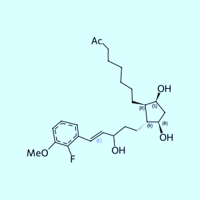 COc1cccc(/C=C/C(O)CC[C@@H]2[C@@H](CCCCCCC(C)=O)[C@@H](O)C[C@H]2O)c1F